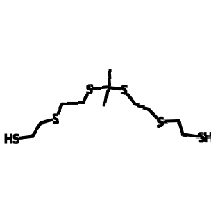 CC(C)(SCCSCCS)SCCSCCS